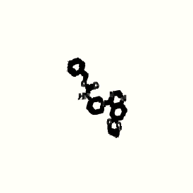 O=C(N[C@@H]1CCCN(c2ncnc3c2CC2(CC3)OCCO2)C1)OCc1ccccc1